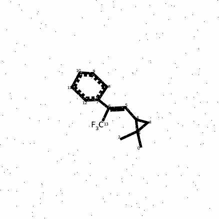 CC1(C)CC1C=C(c1ccccc1)C(F)(F)F